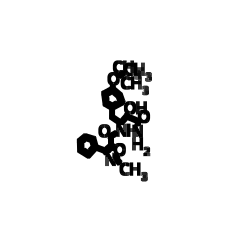 Cc1nc(-c2ccccc2)c(C(=O)NC(Cc2ccc(OC(C)(C)C)cc2)C(O)C(N)=O)o1